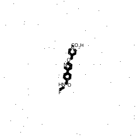 O=C(NCCF)C1CC=C(c2ccc(OCC3CCN(C(=O)O)CC3)nc2)CC1